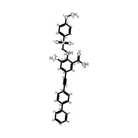 COc1ccc(S(=O)(=O)CNc2c(C)cc(C#Cc3ccc(-c4ccccc4)cc3)cc2C(=O)O)cc1